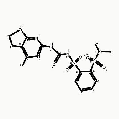 Cc1nc(NC(=O)NS(=O)(=O)c2ccccc2S(=O)(=O)N(C)C)nc2c1CCO2